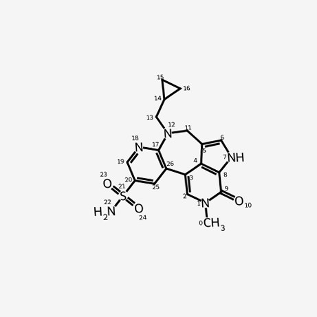 Cn1cc2c3c(c[nH]c3c1=O)CN(CC1CC1)c1ncc(S(N)(=O)=O)cc1-2